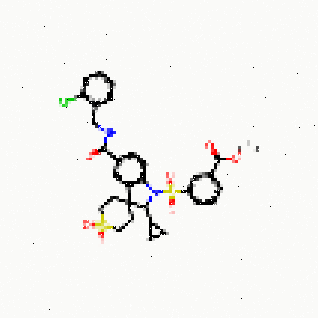 COC(=O)c1cccc(S(=O)(=O)N2c3ccc(C(=O)NCc4ccccc4Cl)cc3C3(CCS(=O)(=O)CC3)C2C2CC2)c1